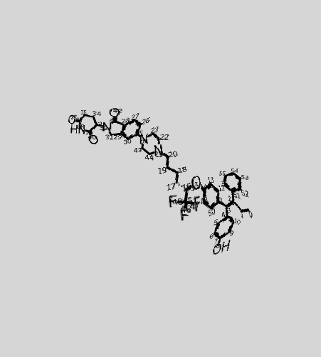 CC/C(=C(\c1ccc(O)cc1)c1ccc(O[C@@H](CCCCN2CCN(c3ccc4c(c3)CN(C3CCC(=O)NC3=O)C4=O)CC2)C(F)(F)F)cc1)c1ccccc1